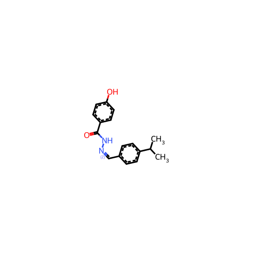 CC(C)c1ccc(/C=N\NC(=O)c2ccc(O)cc2)cc1